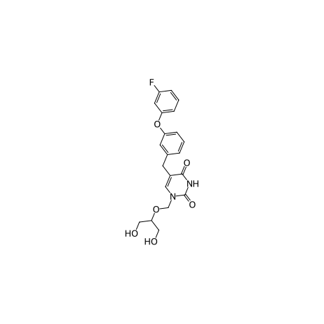 O=c1[nH]c(=O)n(COC(CO)CO)cc1Cc1cccc(Oc2cccc(F)c2)c1